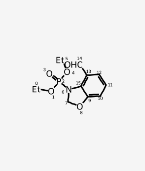 CCOP(=O)(OCC)N1COc2cccc(C=O)c21